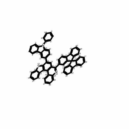 c1ccc(-n2c3ccccc3c3cc(-c4cc5c(-c6ccc7c(c6)C6(c8ccccc8-c8ccccc86)c6ccccc6-7)nc6ccccc6c5c5c4sc4ccccc45)ccc32)cc1